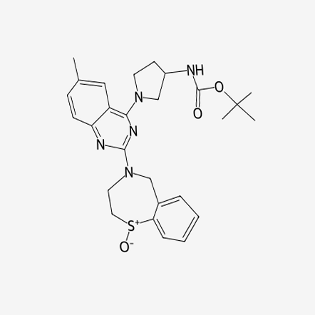 Cc1ccc2nc(N3CC[S+]([O-])c4ccccc4C3)nc(N3CCC(NC(=O)OC(C)(C)C)C3)c2c1